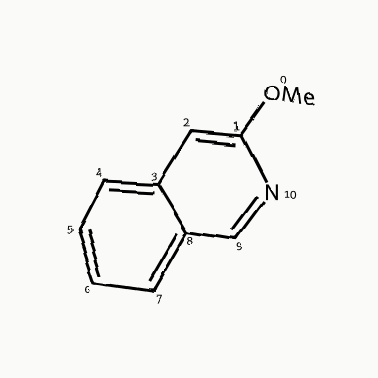 [CH2]Oc1cc2ccccc2cn1